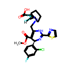 COC(=O)C1=C(CN2C3CCC([C@H]2C(=O)O)C(F)(F)C3)NC(c2nccs2)=N[C@H]1c1ccc(F)cc1Cl